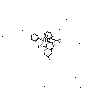 C[C@H]1CC[C@@H]2C(=C[C@@H]3C(=O)O[C@H](C)[C@H]3[C@H]2C(=O)N(c2ccccc2)c2ccccc2)C1